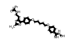 Cc1nc(-c2ccc(OCCCCCOc3ccc(C(=N)NO)cc3)cc2)c(CCNC(=O)C(C)C)s1